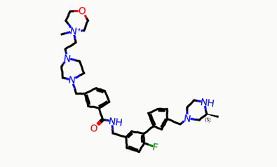 C[C@H]1CN(Cc2cccc(-c3cc(CNC(=O)c4cccc(CN5CCN(CC[N+]6(C)CCOCC6)CC5)c4)ccc3F)c2)CCN1